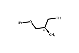 CC(C)OC[C@H](C)CO